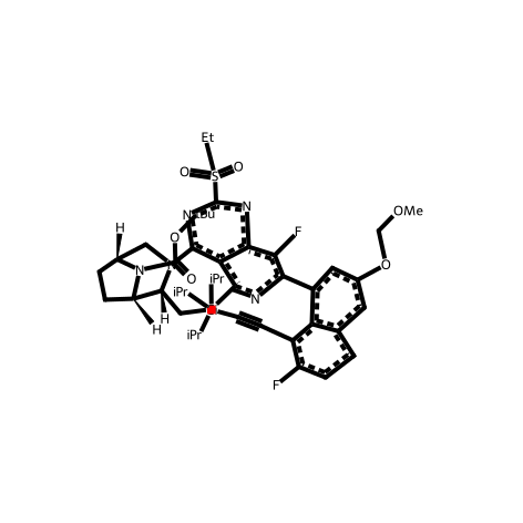 CCS(=O)(=O)c1nc2c3c(nc(-c4cc(OCOC)cc5ccc(F)c(C#C[Si](C(C)C)(C(C)C)C(C)C)c45)c(F)c3n1)OC[C@@H]1[C@@H]3CC[C@H](CN21)N3C(=O)OC(C)(C)C